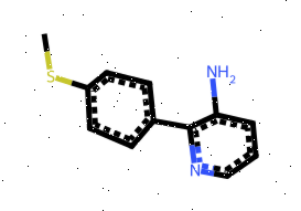 CSc1ccc(-c2ncccc2N)cc1